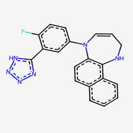 Fc1ccc(N2C=CCNc3c2ccc2ccccc32)cc1-c1nnn[nH]1